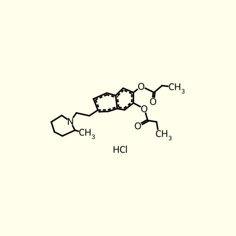 CCC(=O)Oc1cc2ccc(CCN3CCCCC3C)cc2cc1OC(=O)CC.Cl